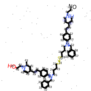 C/C=C(\C=C/NCCN=O)/C=C/c1ccc(N(CCCCSSCCCCN(Cc2ccccc2)c2ccc(/C=C/C3=CC(C)N(CCO)C=C3)cc2)Cc2ccccc2)cc1